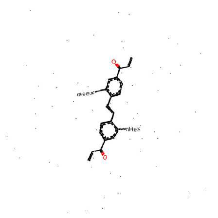 C=CC(=O)c1ccc(/C=C/c2ccc(C(=O)C=C)cc2CCCCCC)c(CCCCCC)c1